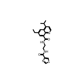 CCc1cc(C(=O)NCCNC(=O)c2cscn2)c2nccc(C(C)C)c2c1